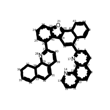 C1=CC2C(c3ccc4ccc5cccnc5c4n3)=Cc3c(oc4cccc(C5=NC6C(=CC=C7C=CCCC76)C=C5)c34)C2C=C1